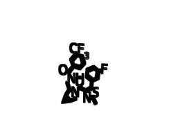 Cc1nc(C(=O)N2CC3CC3C2CNC(=O)c2cccc(C(F)(F)F)c2)c(-c2cccc(F)c2)s1